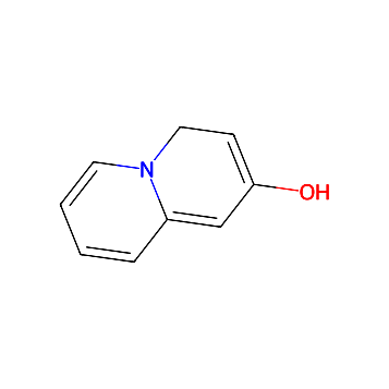 OC1=CCN2C=CC=CC2=C1